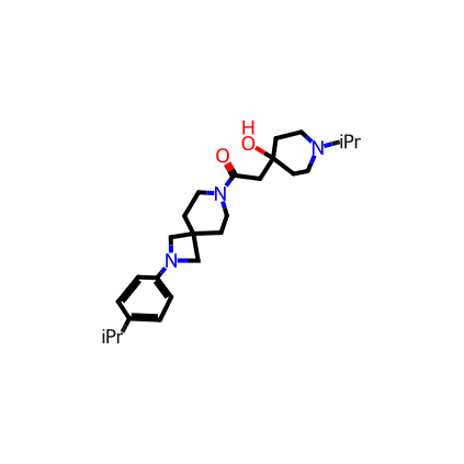 CC(C)c1ccc(N2CC3(CCN(C(=O)CC4(O)CCN(C(C)C)CC4)CC3)C2)cc1